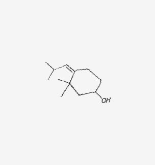 CC(C)/C=C1/CCC(O)CC1(C)C